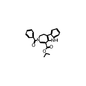 CC(C)OC(=O)C1=CN(C(=O)c2ccccc2)CCc2c1[nH]c1ccccc21